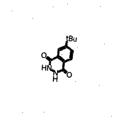 CC(C)(C)c1ccc2c(=O)[nH][nH]c(=O)c2c1